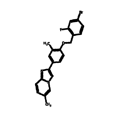 Cc1ccc2nc(-c3ccc(OCc4ccc(Br)cc4F)c(C)c3)cn2c1